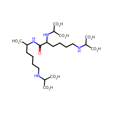 O=C(O)C(CCCCNC(C(=O)O)C(=O)O)NC(=O)C(CCCCNC(C(=O)O)C(=O)O)NC(C(=O)O)C(=O)O